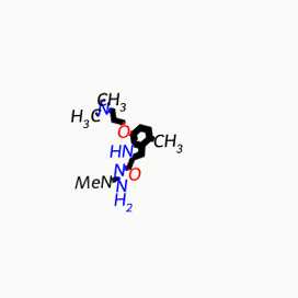 CNC(N)=NC(=O)c1cc2c(C)ccc(OCCCN(C)C)c2[nH]1